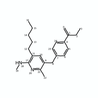 C=C(CC)c1ccc(Cc2cc(CCCCC)c(NC)nc2C)cc1